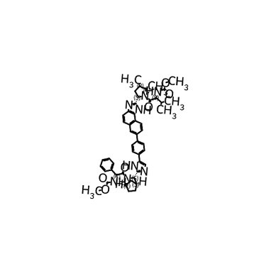 COC(=O)N[C@H](C(=O)N1[C@H](C)[C@H](C)C[C@H]1c1nc2ccc3cc(-c4ccc(-c5cnc([C@@H]6[C@H]7CC[C@H](C7)N6C(=O)[C@H](NC(=O)OC)c6ccccc6)[nH]5)cc4)ccc3c2[nH]1)C(C)C